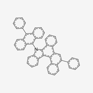 c1ccc(-c2c3ccccc3c(-n3c4ccccc4c4c5c6ccccc6c(-c6ccccc6)cc5c5ccccc5c43)c3ccccc23)cc1